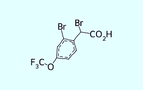 O=C(O)C(Br)c1ccc(OC(F)(F)F)cc1Br